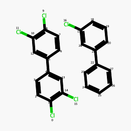 Clc1ccc(-c2ccc(Cl)c(Cl)c2)cc1Cl.Clc1cccc(-c2ccccc2)c1